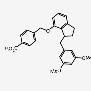 COc1cc(CC2CCc3cccc(OCc4ccc(C(=O)O)cc4)c32)cc(OC)c1